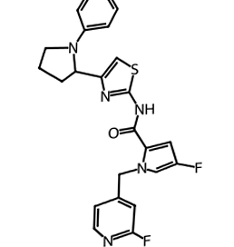 O=C(Nc1nc(C2CCCN2c2ccccc2)cs1)c1cc(F)cn1Cc1ccnc(F)c1